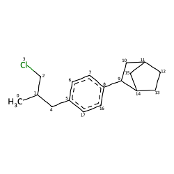 CC(CCl)Cc1ccc(C2CC3CCC2C3)cc1